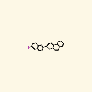 IC1=Cc2ccc(C3=CC=C4C5=C(C=CCC5)C=CC4C3)cc2CC1